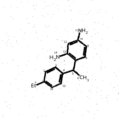 CCc1ccc(C(C)c2ccc(N)cc2N)cc1